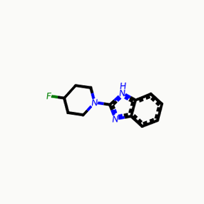 FC1CCN(c2nc3ccccc3[nH]2)CC1